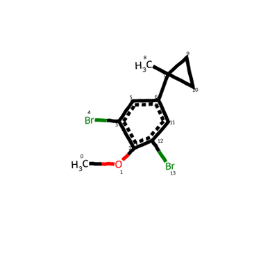 COc1c(Br)cc(C2(C)CC2)cc1Br